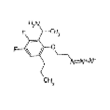 CCCc1cc(F)c(F)c([C@@H](C)N)c1OCCN=[N+]=[N-]